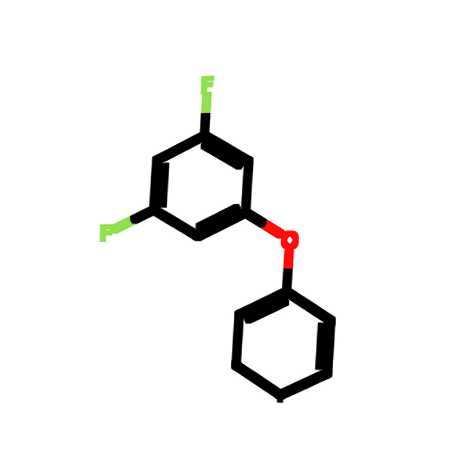 Fc1cc(F)cc(OC2=CC[CH]C=C2)c1